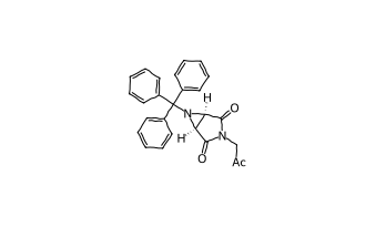 CC(=O)CN1C(=O)[C@@H]2[C@H](C1=O)N2C(c1ccccc1)(c1ccccc1)c1ccccc1